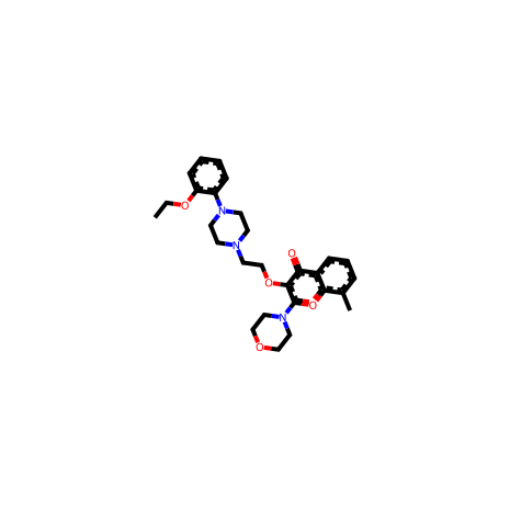 CCOc1ccccc1N1CCN(CCOc2c(N3CCOCC3)oc3c(C)cccc3c2=O)CC1